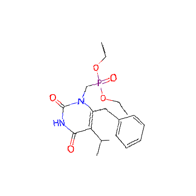 CCOP(=O)(Cn1c(Cc2ccccc2)c(C(C)C)c(=O)[nH]c1=O)OCC